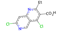 CCc1nc2cc(Cl)ncc2c(Cl)c1C(=O)O